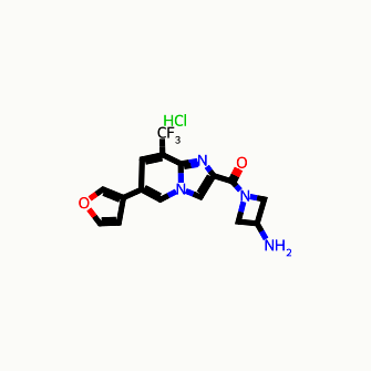 Cl.NC1CN(C(=O)c2cn3cc(-c4ccoc4)cc(C(F)(F)F)c3n2)C1